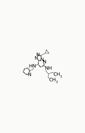 CCC(CC)CNc1cc(NCc2ccccn2)c2nnc(C3CC3)n2n1